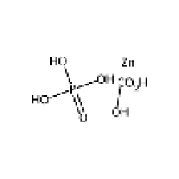 O=C(O)O.O=P(O)(O)O.[Zn]